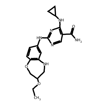 CCOC1CNc2cc(Nc3ncc(C(N)=O)c(NC4CC4)n3)ccc2OC1